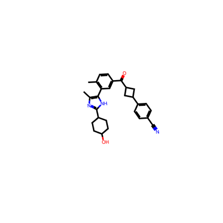 Cc1ccc(C(=O)C2CC(c3ccc(C#N)cc3)C2)cc1-c1[nH]c(C2CCC(O)CC2)nc1C